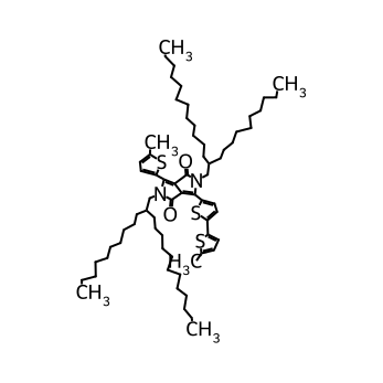 CCCCCCCCCCCCC(CCCCCCCCCC)CN1C(=O)C2=C(c3ccc(-c4ccc(C)s4)s3)N(CC(CCCCCCCCCC)CCCCCCCCCCCC)C(=O)C2=C1c1ccc(C)s1